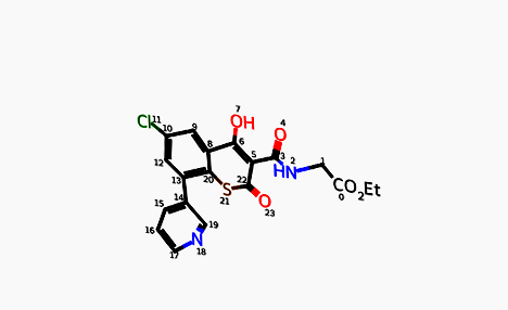 CCOC(=O)CNC(=O)c1c(O)c2cc(Cl)cc(-c3cccnc3)c2sc1=O